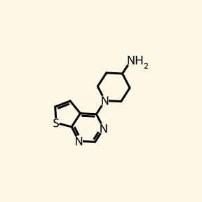 NC1CCN(c2ncnc3sccc23)CC1